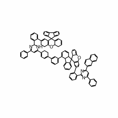 C1=CCC2OC3=C(C=C(c4ccccc4C4N=C(c5ccccc5)C=C(C5=CC=C(c6cccc(C7=CC=CC8C7c7ccccc7C87c8cc(-c9ccccc9-c9nc(-c%10ccccc%10)cc(-c%10ccc%11ccccc%11c%10)n9)ccc8OC8=CC=CCC87)c6)CC5)N4)CC3)C3(C2=C1)c1ccccc1-c1ccccc13